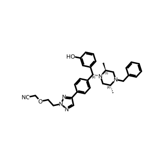 C[C@@H]1CN([C@H](c2ccc(-c3cnn(CCOCC#N)n3)cc2)c2cccc(O)c2)[C@@H](C)CN1Cc1ccccc1